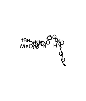 C#CCOCCOCCCNC(=O)N1CC(Oc2cccc(Oc3ccc(C(=O)N[C@@H](CCC(C)(C)C)C(=O)OC)cn3)c2)C1